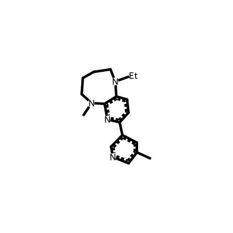 CCN1CCCCN(C)c2nc(-c3cncc(C)c3)ccc21